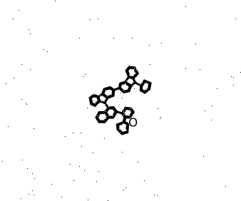 c1ccc(C2c3ccccc3-c3cc(-c4ccc5c(c4)C(c4cc(-c6cccc7oc8ccccc8c67)cc6ccccc46)c4ccccc4-5)ccc32)cc1